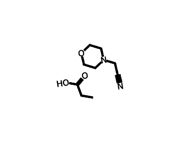 CCC(=O)O.N#CCN1CCOCC1